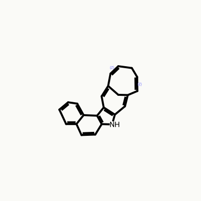 C1=C2/C=C\C/C=C\C(=Cc3c1[nH]c1ccc4ccccc4c31)C2